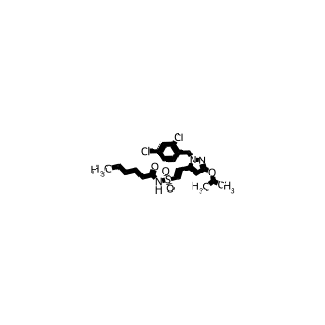 CCCCCC(=O)NS(=O)(=O)C=Cc1cc(OC(C)C)nn1Cc1ccc(Cl)cc1Cl